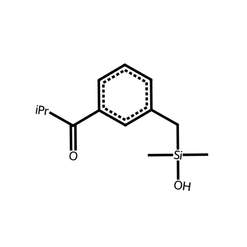 CC(C)C(=O)c1cccc(C[Si](C)(C)O)c1